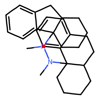 CN(N(C)C12CCCCC1Cc1ccccc12)C12CCCCC1CCc1ccccc12